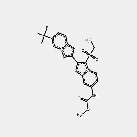 CCS(=O)(=O)c1c(-c2nc3ccc(C(F)(F)F)cn3n2)nc2cc(NC(=O)OC)ccn12